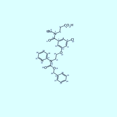 CC(C)(C)N(CCC(=O)O)C(=O)c1cc(Cl)cc(OCCN(C(=O)OCc2ccccc2)c2ccccn2)c1